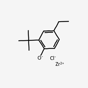 CCc1ccc([O-])c(C(C)(C)C)c1.[Cl-].[Zr+2]